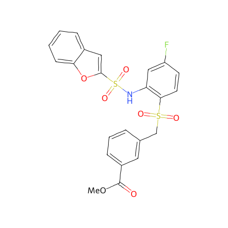 COC(=O)c1cccc(CS(=O)(=O)c2ccc(F)cc2NS(=O)(=O)c2cc3ccccc3o2)c1